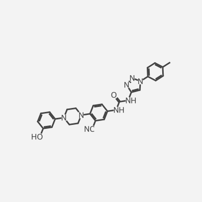 Cc1ccc(-n2cc(NC(=O)Nc3ccc(N4CCN(c5cccc(O)c5)CC4)c(C#N)c3)nn2)cc1